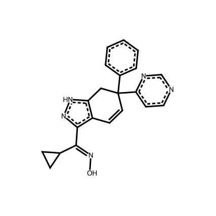 ON=C(c1n[nH]c2c1C=CC(c1ccccc1)(c1ccncn1)C2)C1CC1